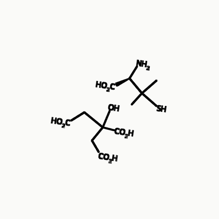 CC(C)(S)[C@H](N)C(=O)O.O=C(O)CC(O)(CC(=O)O)C(=O)O